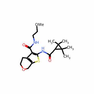 COCCNC(=O)c1c(NC(=O)C2C(C)(C)C2(C)C)sc2c1CCOC2